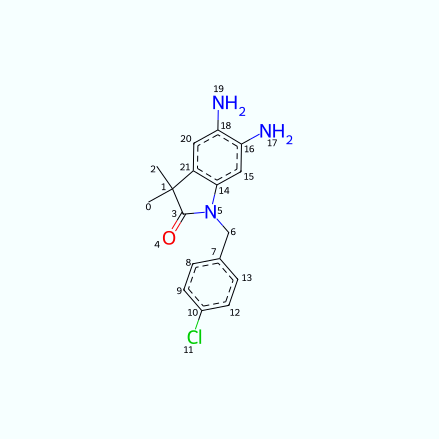 CC1(C)C(=O)N(Cc2ccc(Cl)cc2)c2cc(N)c(N)cc21